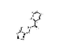 Cn1ccnc1CNC(=O)c1cnccn1